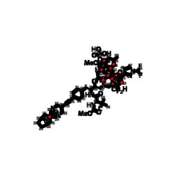 COC(=O)N[C@H](C(=O)N[C@@H](Cc1ccc(C#Cc2cnc(N3CC4CCC(C3)N4C3COC3)nc2)cc1)[C@H](CN(Cc1c(F)cc(-c2ccn(C(F)F)n2)cc1F)NC(=O)[C@@H](NC(=O)OC)C(C)(C)C(F)(F)F)OC(=O)CC(C)(C)c1c(CC(=O)N(C)CC(=O)O)cc(C)cc1OP(=O)(O)O)C(C)(C)C(F)(F)F